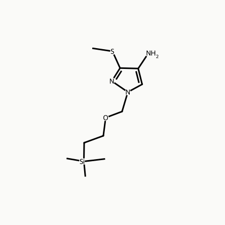 CSc1nn(COCC[Si](C)(C)C)cc1N